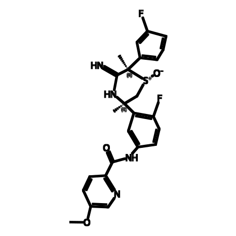 COc1ccc(C(=O)Nc2ccc(F)c([C@]3(C)C[S+]([O-])[C@](C)(c4cccc(F)c4)C(=N)N3)c2)nc1